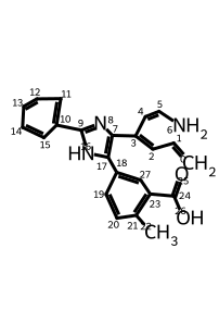 C=C/C=C(\C=C/N)c1nc(-c2ccccc2)[nH]c1-c1ccc(C)c(C(=O)O)c1